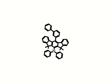 CC1(C)c2ccccc2-c2c(-c3cccc(-c4ccccc4)c3)c3c(c(N(c4ccccc4)c4ccccc4)c21)C(C)(C)c1ccccc1-3